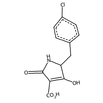 O=C(O)C1=C(O)C(Cc2ccc(Cl)cc2)NC1=O